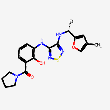 CC[C@@H](Nc1nsnc1Nc1cccc(C(=O)N2CCCC2)c1O)c1cc(C)co1